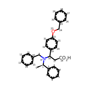 C[C@H](c1ccccc1)N(Cc1ccccc1)C(CC(=O)O)c1ccc(OCc2ccccc2)cc1